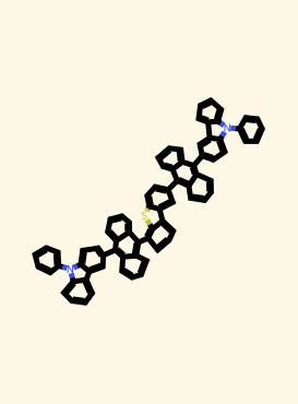 c1ccc(-n2c3ccccc3c3cc(-c4c5ccccc5c(-c5ccc6sc7c(-c8c9ccccc9c(-c9ccc%10c(c9)c9ccccc9n%10-c9ccccc9)c9ccccc89)cccc7c6c5)c5ccccc45)ccc32)cc1